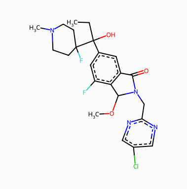 CCC(O)(c1cc(F)c2c(c1)C(=O)N(Cc1ncc(Cl)cn1)C2OC)C1(F)CCN(C)CC1